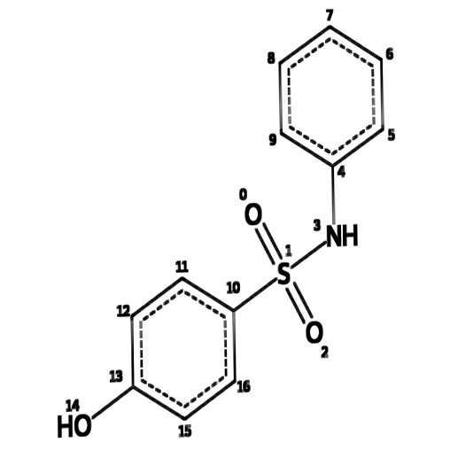 O=S(=O)(Nc1ccccc1)c1ccc(O)cc1